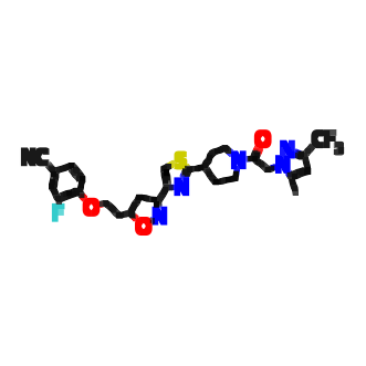 Cc1cc(C(F)(F)F)nn1CC(=O)N1CCC(c2nc(C3=NOC(CCOc4ccc(C#N)cc4F)C3)cs2)CC1